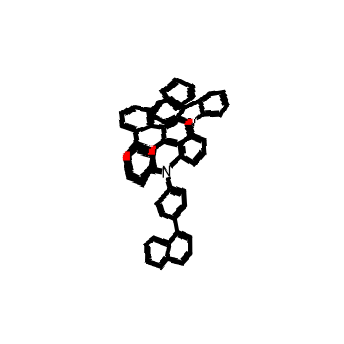 c1ccc(-c2ccccc2-c2c(-c3ccccc3)cccc2-c2cccc(N(c3ccc(-c4cccc5ccccc45)cc3)c3cccc(-n4c5ccccc5c5ccccc54)c3)c2)cc1